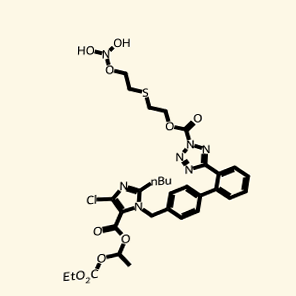 CCCCc1nc(Cl)c(C(=O)OC(C)OC(=O)OCC)n1Cc1ccc(-c2ccccc2-c2nnn(C(=O)OCCSCCON(O)O)n2)cc1